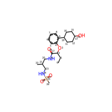 CCC(Oc1ccccc1C1CCC(O)CC1)C(=O)NCC(C)CNS(C)(=O)=O